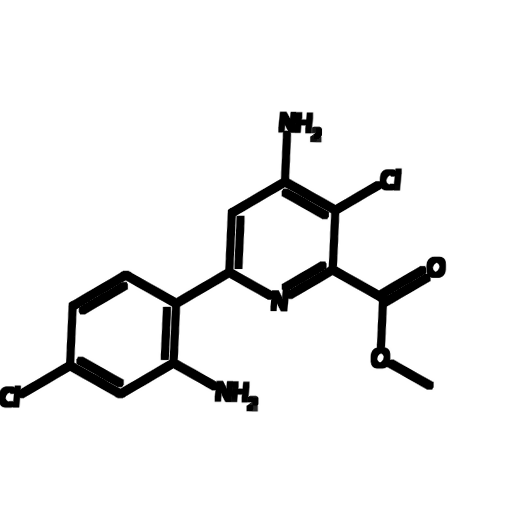 COC(=O)c1nc(-c2ccc(Cl)cc2N)cc(N)c1Cl